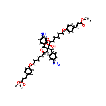 COC(=O)C=Cc1ccc(OCCCCCC(=O)CC(Cc2ccc(N)cc2)(Cc2ccc(N)cc2)C(O)(O)C(=O)CCCCCOc2ccc(C=CC(=O)OC)cc2)cc1